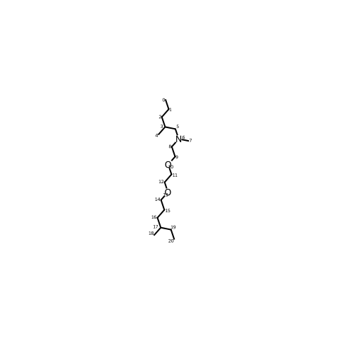 CCCC(C)CN(C)CCOCCOCCCC(C)CC